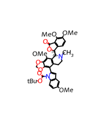 COc1ccc2c(c1)cc(-c1c3c(c(OC)c4c1OCO4)[C@H]([C@H]1OC(=O)c4c1ccc(OC)c4OC)N(C)CC3)n2C(=O)OC(C)(C)C